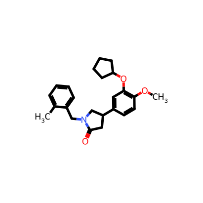 COc1ccc(C2CC(=O)N(Cc3ccccc3C)C2)cc1OC1CCCC1